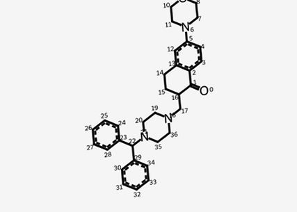 O=C1c2ccc(N3CCOCC3)cc2CCC1CN1CCN(C(c2ccccc2)c2ccccc2)CC1